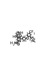 CN1CCN(c2cc(C(F)(F)F)ccc2Oc2ccc(-c3nc(N[C@H]4CCNC4=O)cc(C(N)=O)n3)cc2)CC1